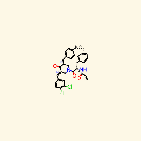 C=CC(=O)N[C@@H](Cc1ccccc1)C(=O)N1C/C(=C\c2ccc([N+](=O)[O-])cc2)C(=O)/C(=C/c2ccc(Cl)c(Cl)c2)C1